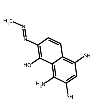 C/N=N/c1ccc2c(S)cc(S)c(N)c2c1O